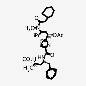 CC(=O)O[C@H](CC(C(C)C)N(C)C(=O)CC1CCCCC1)c1nc(C(=O)N[C@@H](Cc2ccccc2)C[C@H](C)C(=O)O)cs1